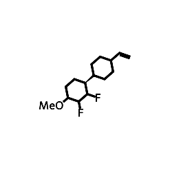 C=CC1CCC([C@@H]2CCC(OC)C(F)C2F)CC1